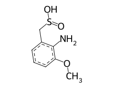 COc1cccc(CS(=O)O)c1N